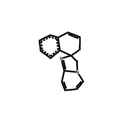 C1=CC2=NC3(CC=Cc4ccccc43)CN2C=C1